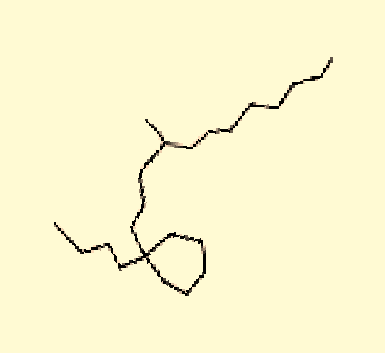 CCCCCCCCC(C)CCCC1(CCCC)CCCCC1